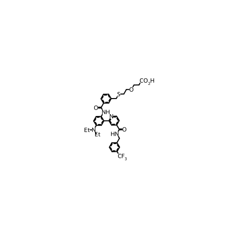 CCN(CC)c1ccc(NC(=O)c2cccc(CSCCOCCC(=O)O)c2)c(-c2cc(C(=O)NCc3cccc(C(F)(F)F)c3)ccn2)c1